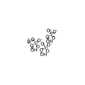 O=S(=O)([O-])OO.O=S(=O)([O-])OO.O=S(=O)([O-])OO.[Bi+3]